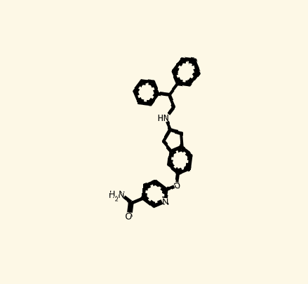 NC(=O)c1ccc(Oc2ccc3c(c2)CC(NCC(c2ccccc2)c2ccccc2)C3)nc1